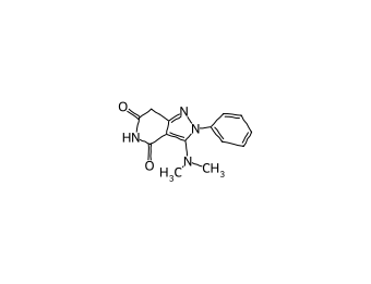 CN(C)c1c2c(nn1-c1ccccc1)CC(=O)NC2=O